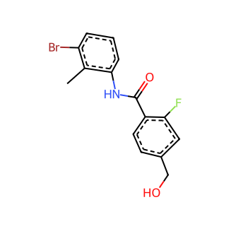 Cc1c(Br)cccc1NC(=O)c1ccc(CO)cc1F